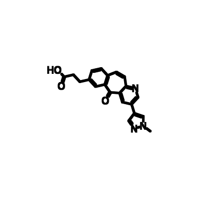 Cn1cc(-c2cnc3ccc4ccc(CCC(=O)O)cc4c(=O)c3c2)cn1